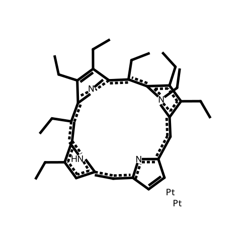 CCC1=C(CC)c2nc1c(CC)c1[nH]c(cc3nc(cc4c(CC)c(CC)c(c2CC)n4CC)C=C3)cc1CC.[Pt].[Pt]